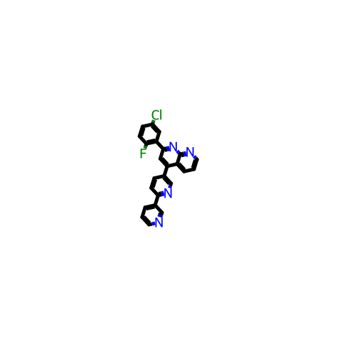 Fc1ccc(Cl)cc1-c1cc(-c2ccc(-c3cccnc3)nc2)c2cccnc2n1